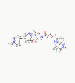 C[C@@H](COCCC(=O)N1CCN2c3ncc(C4CCN(C)CC4)cc3OCC2C1)Nc1cn[nH]c(=O)c1C(F)(F)F